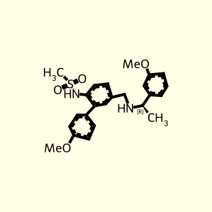 COc1ccc(-c2cc(CN[C@H](C)c3cccc(OC)c3)ccc2NS(C)(=O)=O)cc1